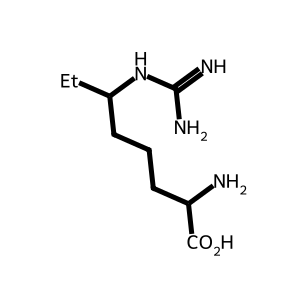 CCC(CCCC(N)C(=O)O)NC(=N)N